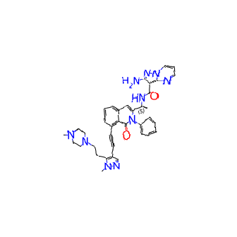 C[C@H](NC(=O)c1c(N)nn2cccnc12)c1cc2cccc(C#Cc3cnn(C)c3CCN3CCN(C)CC3)c2c(=O)n1-c1ccccc1